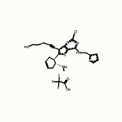 CN[C@@H]1CC=CC[C@H]1c1sc2c(NCc3cccs3)nc(Cl)nc2c1C#CCCCO.O=C(O)C(F)(F)F